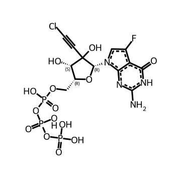 Nc1nc2c(c(F)cn2[C@@H]2O[C@H](COP(=O)(O)OP(=O)(O)OP(=O)(O)O)[C@H](O)C2(O)C#CCl)c(=O)[nH]1